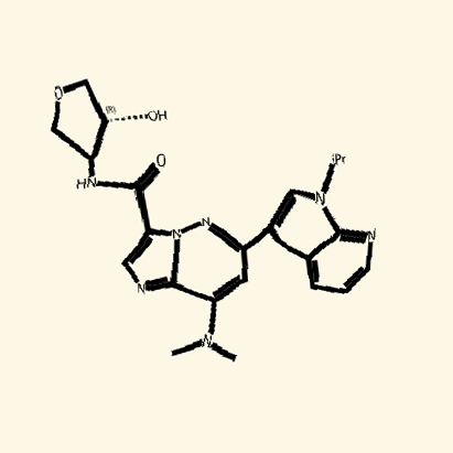 CC(C)n1cc(-c2cc(N(C)C)c3ncc(C(=O)NC4COC[C@@H]4O)n3n2)c2cccnc21